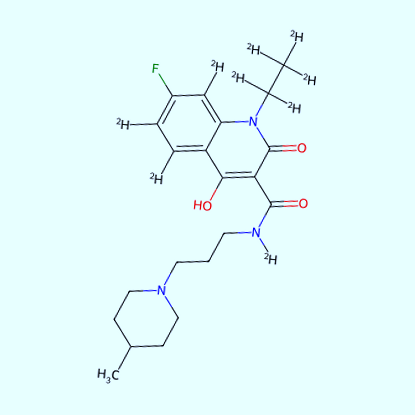 [2H]c1c(F)c([2H])c2c(c1[2H])c(O)c(C(=O)N([2H])CCCN1CCC(C)CC1)c(=O)n2C([2H])([2H])C([2H])([2H])[2H]